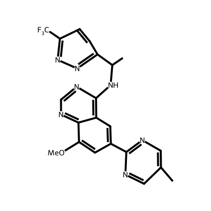 COc1cc(-c2ncc(C)cn2)cc2c(NC(C)c3ccc(C(F)(F)F)nn3)ncnc12